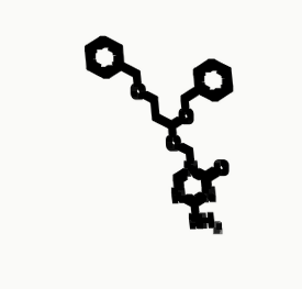 Nc1ncn(COC(CCOCc2ccccc2)OCc2ccccc2)c(=O)n1